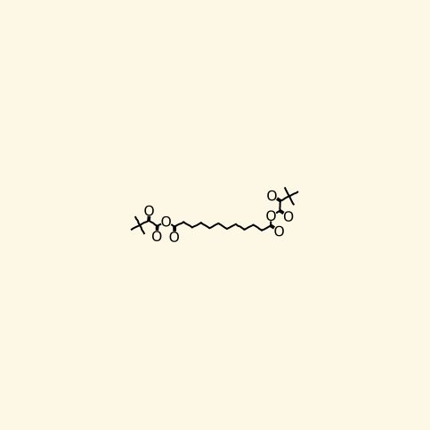 CC(C)(C)C(=O)C(=O)OC(=O)CCCCCCCCCCC(=O)OC(=O)C(=O)C(C)(C)C